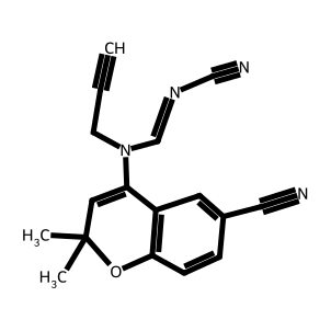 C#CCN(C=NC#N)C1=CC(C)(C)Oc2ccc(C#N)cc21